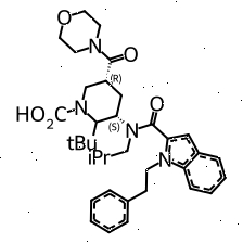 CC(C)CN(C(=O)c1cc2ccccc2n1CCc1ccccc1)[C@H]1C[C@@H](C(=O)N2CCOCC2)CN(C(=O)O)C1C(C)(C)C